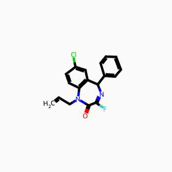 C=CCN1C(=O)C(F)=NC(c2ccccc2)c2cc(Cl)ccc21